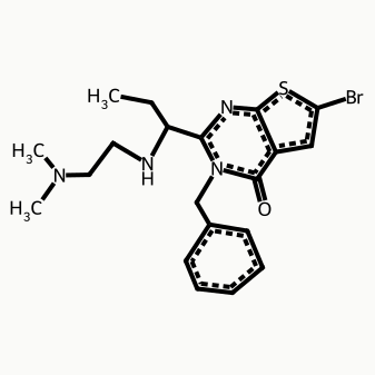 CCC(NCCN(C)C)c1nc2sc(Br)cc2c(=O)n1Cc1ccccc1